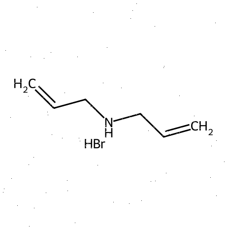 Br.C=CCNCC=C